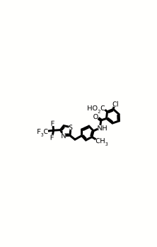 Cc1cc(Cc2nc(C(F)(F)C(F)(F)F)cs2)ccc1NC(=O)c1cccc(Cl)c1C(=O)O